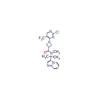 CN(C(=O)C1CN(c2nc(Cl)ncc2C(F)(F)F)C1)C(C)(C)c1cnc2ccccn12